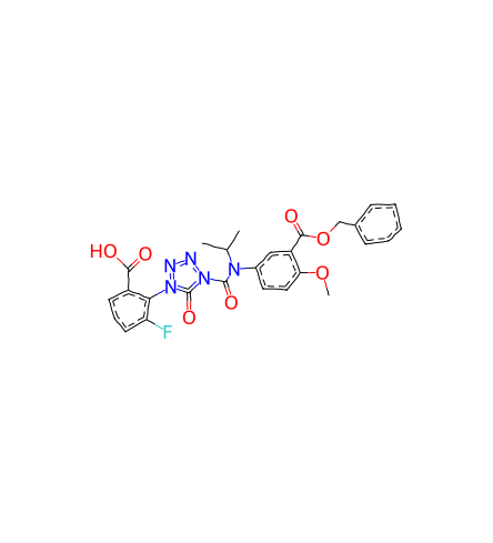 COc1ccc(N(C(=O)n2nnn(-c3c(F)cccc3C(=O)O)c2=O)C(C)C)cc1C(=O)OCc1ccccc1